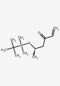 C=CC(=O)C[C@@H](C)O[Si](C)(C)C(C)(C)C